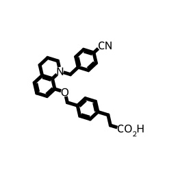 N#Cc1ccc(CN2CCCc3cccc(OCc4ccc(CCC(=O)O)cc4)c32)cc1